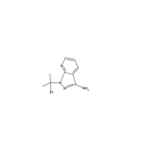 CCC(C)(C)n1nc(N)c2cccnc21